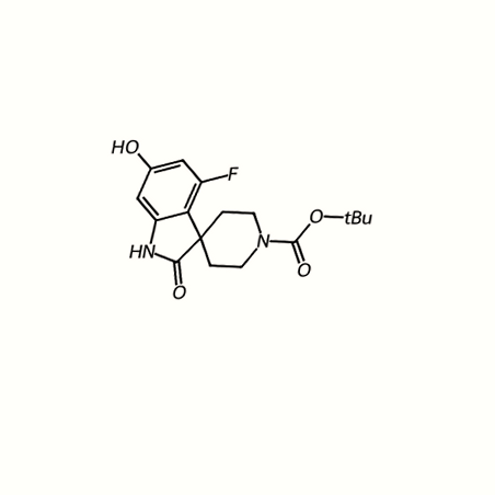 CC(C)(C)OC(=O)N1CCC2(CC1)C(=O)Nc1cc(O)cc(F)c12